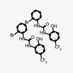 O=C(Nc1cc(C(F)(F)F)ccc1O)Nc1ccccc1Br.O=C(Nc1cc(C(F)(F)F)ccc1O)Nc1ccccc1Br